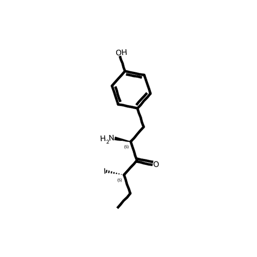 CC[C@H](I)C(=O)[C@@H](N)Cc1ccc(O)cc1